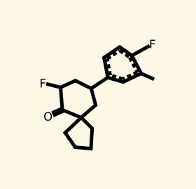 Cc1cc(C2CC(F)C(=O)C3(CCCC3)C2)ccc1F